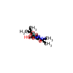 CCCC(CCC)C(=O)Nc1ccn([C@@H]2O[C@H](CO)[C@@H](OC(=O)C(CCC)CCC)C2(F)F)c(=O)n1